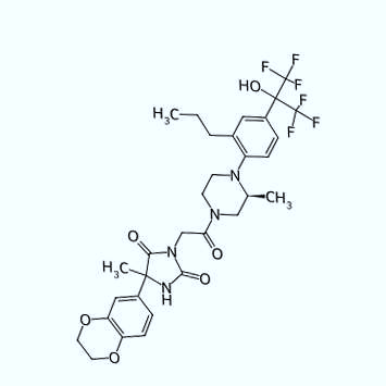 CCCc1cc(C(O)(C(F)(F)F)C(F)(F)F)ccc1N1CCN(C(=O)CN2C(=O)NC(C)(c3ccc4c(c3)OCCO4)C2=O)C[C@@H]1C